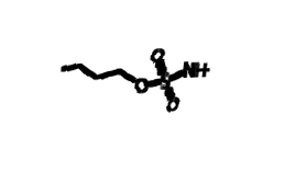 CCCCOS([NH])(=O)=O